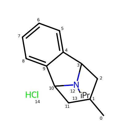 CC1CC2c3ccccc3C(C1)N2C(C)C.Cl